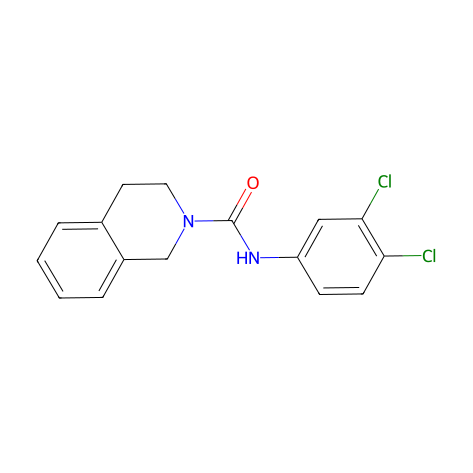 O=C(Nc1ccc(Cl)c(Cl)c1)N1CCc2ccccc2C1